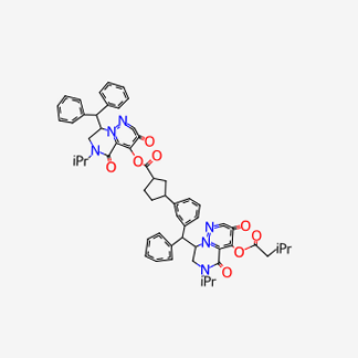 CC(C)CC(=O)Oc1c2n(ncc1=O)C(C(c1ccccc1)c1cccc(C3CCC(C(=O)Oc4c5n(ncc4=O)C(C(c4ccccc4)c4ccccc4)CN(C(C)C)C5=O)C3)c1)CN(C(C)C)C2=O